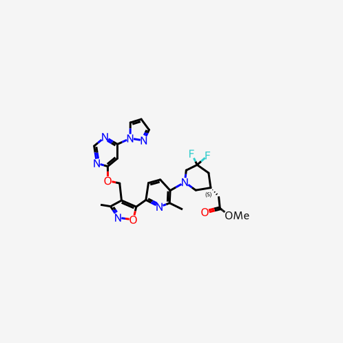 COC(=O)C[C@@H]1CN(c2ccc(-c3onc(C)c3COc3cc(-n4cccn4)ncn3)nc2C)CC(F)(F)C1